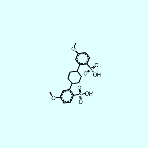 COc1ccc(S(=O)(=O)O)c(C2CCC(c3cc(OC)ccc3S(=O)(=O)O)CC2)c1